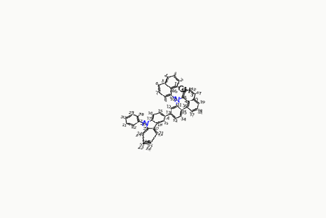 Cc1cccc2cccc(N3c4cc(-c5ccc6c(c5)c5ccccc5n6-c5ccccc5)ccc4-c4cccc5cccc3c45)c12